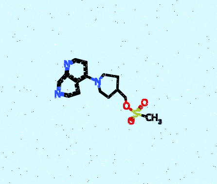 CS(=O)(=O)OCC1CCN(c2ccnc3cnccc23)CC1